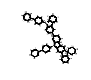 C1=CC(C2C=CC(n3c4cc(-c5ccc6c(c5)c5ccccc5n6-c5ccc(-c6ccccc6)cc5)ccc4c4cc5c(cc43)-c3ccccc3C53CCCCC3)=CC2)=CCC1